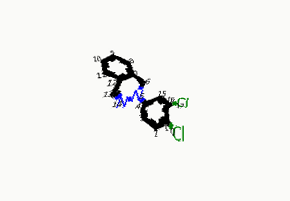 Clc1ccc(N2Cc3ccccc3C=N2)cc1Cl